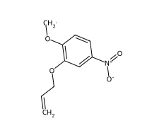 [CH2]Oc1ccc([N+](=O)[O-])cc1OCC=C